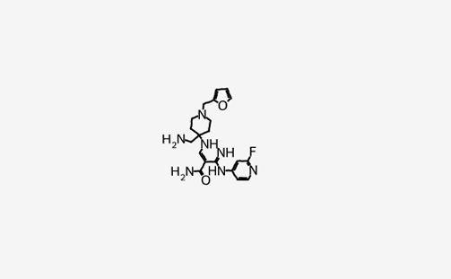 N=C(Nc1ccnc(F)c1)/C(=C\NC1(CN)CCN(Cc2ccco2)CC1)C(N)=O